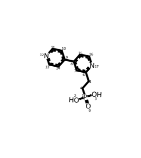 O=P(O)(O)CCc1cc(-c2ccncc2)ccn1